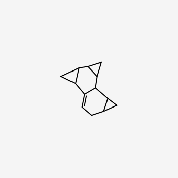 C1=C2C3CC3C3CC3C2C2CC2C1